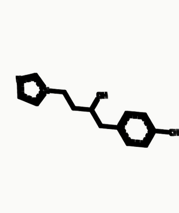 Cc1ccc(CC(O)CCn2ccnc2)cc1